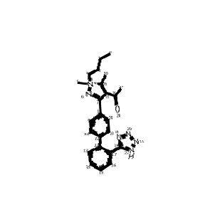 CCCC[N+]1(C)N=C(c2ccc(-c3ccccc3-c3nnn[nH]3)cc2)C(C(C)=O)=C1C